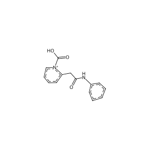 O=C(Cc1cccc[n+]1C(=O)O)Nc1ccccc1